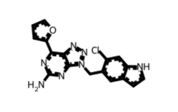 Nc1nc(-c2ccco2)c2nnn(Cc3cc4cc[nH]c4cc3Cl)c2n1